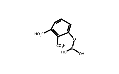 O=C(O)c1cccc(OB(O)O)c1C(=O)O